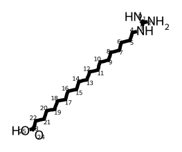 N=C(N)NCCCCCCCCCCCCCCCCCCCC(=O)O